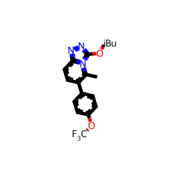 CCC(C)Oc1nnc2ccc(-c3ccc(OC(F)(F)F)cc3)c(C)n12